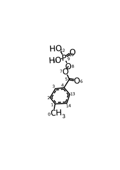 Cc1ccc(C(=O)OOP(=O)(O)O)cc1